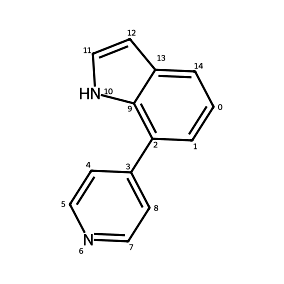 c1cc(-c2ccncc2)c2[nH]ccc2c1